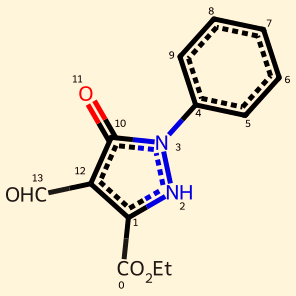 CCOC(=O)c1[nH]n(-c2ccccc2)c(=O)c1C=O